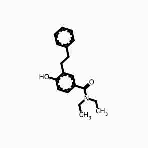 CCN(CC)C(=O)c1ccc(O)c(CCc2ccccc2)c1